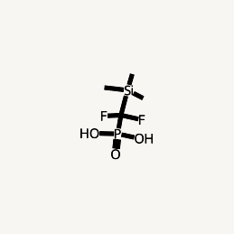 C[Si](C)(C)C(F)(F)P(=O)(O)O